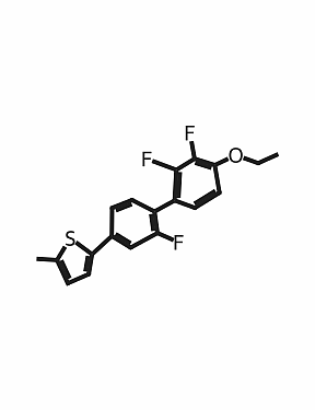 CCOc1ccc(-c2ccc(-c3ccc(C)s3)cc2F)c(F)c1F